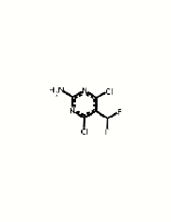 Nc1nc(Cl)c(C(F)F)c(Cl)n1